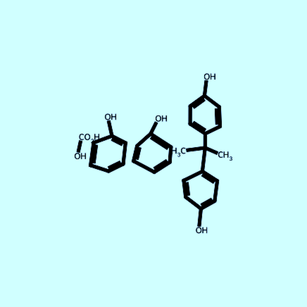 CC(C)(c1ccc(O)cc1)c1ccc(O)cc1.O=C(O)O.Oc1ccccc1.Oc1ccccc1